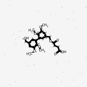 COc1cc(CO)cc(-c2cc(COC(=O)CCC(=O)O)cc(OC)c2OC)c1OC